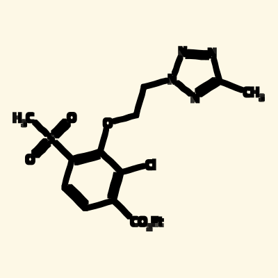 CCOC(=O)c1ccc(S(C)(=O)=O)c(OCCn2nnc(C)n2)c1Cl